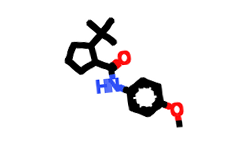 COc1ccc(NC(=O)C2CCCC2C(C)(C)C)cc1